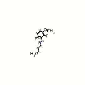 CCCC/N=C/c1c(F)ccc(OC)c1F